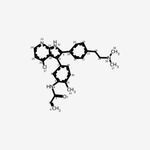 C=CC(=O)Nc1cc(-c2c(-c3ccc(CCN(C)C)cc3)[nH]c3nccc(Cl)c23)ccc1C